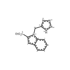 CCOC(=O)c1cc2ccccc2n1Cc1nnn[nH]1